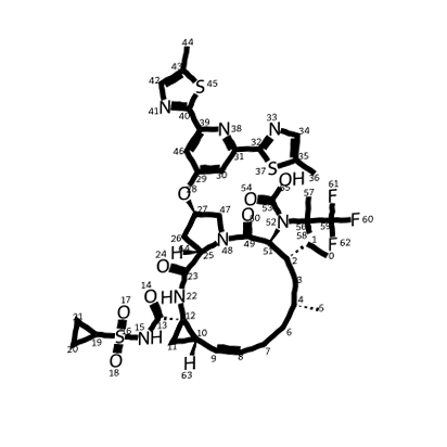 CC[C@@H]1C[C@H](C)CCC=C[C@@H]2C[C@@]2(C(=O)NS(=O)(=O)C2CC2)NC(=O)[C@@H]2C[C@@H](Oc3cc(-c4ncc(C)s4)nc(-c4ncc(C)s4)c3)CN2C(=O)[C@H]1N(C(=O)O)C(C)(C)C(F)(F)F